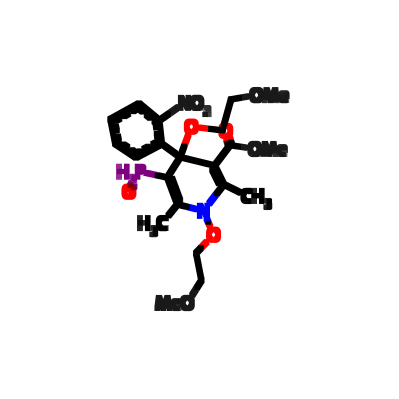 COCCON1C(C)=C([PH2]=O)C(OCCOC)(c2ccccc2[N+](=O)[O-])C(C(=O)OC)=C1C